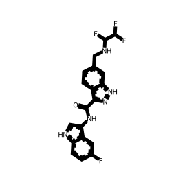 O=C(Nc1c[nH]c2ccc(F)cc12)c1n[nH]c2cc(CNC(F)C(F)F)ccc12